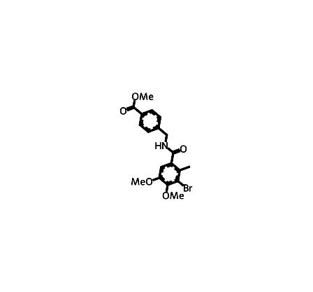 COC(=O)c1ccc(CNC(=O)c2cc(OC)c(OC)c(Br)c2C)cc1